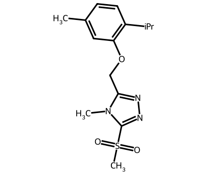 Cc1ccc(C(C)C)c(OCc2nnc(S(C)(=O)=O)n2C)c1